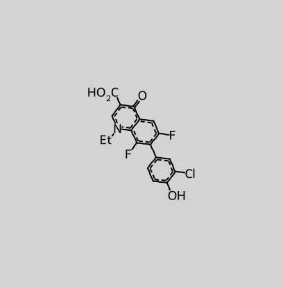 CCn1cc(C(=O)O)c(=O)c2cc(F)c(-c3ccc(O)c(Cl)c3)c(F)c21